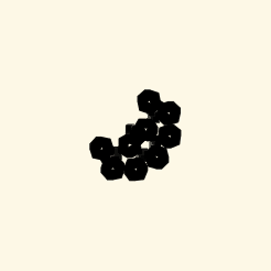 c1ccc(-n2c3cc(-n4c5ccccc5c5ccccc54)cc4sc5cc(-n6c7ccccc7c7ccccc76)cc(c5c43)n(-c3ccccc3)c3ccccc32)cc1